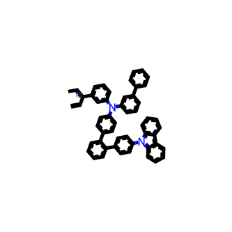 C=C/C(=C\C)c1cccc(N(c2ccc(-c3ccccc3-c3ccc(-n4c5ccccc5c5ccccc54)cc3)cc2)c2cccc(-c3ccccc3)c2)c1